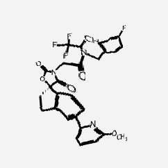 COc1cccc(-c2ccc3c(c2)CC[C@@]32OC(=O)N(CC(=O)N(Cc3ccc(F)cc3)C(C)C(F)(F)F)C2=O)n1